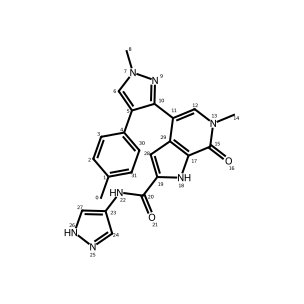 Cc1ccc(-c2cn(C)nc2-c2cn(C)c(=O)c3[nH]c(C(=O)Nc4cn[nH]c4)cc23)cc1